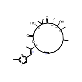 C/C(=C\c1csc(C)n1)[C@@H]1C/C=C\CCCC(C)C[C@H](C)[C@H](O)[C@@H](C)C(=O)C(C)(C)[C@@H](O)CC(=O)O1